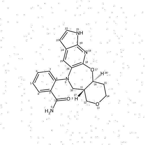 NC(=O)c1ccccc1N1C[C@H]2COCC[C@@H]2Oc2nc3[nH]ccc3cc21